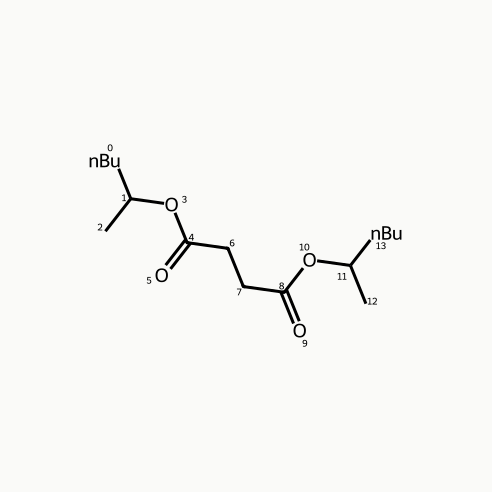 CCCCC(C)OC(=O)CCC(=O)OC(C)CCCC